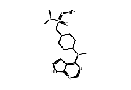 CCCN=S(=O)(CC1CCC(N(C)c2ncnc3[nH]ccc23)CC1)N(C)C